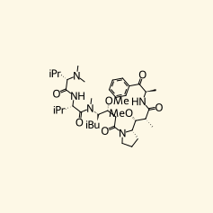 CC[C@H](C)[C@@H]([C@@H](CC(=O)N1CCC[C@H]1[C@H](OC)[C@@H](C)C(=O)N[C@H](C)C(=O)c1ccccc1)OC)N(C)C(=O)[C@@H](NC(=O)[C@H](C(C)C)N(C)C)C(C)C